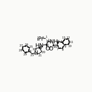 CC(C)C[C@H](NC(=O)c1ccc2ccccc2c1)C(=O)N[C@H]1CCN(Cc2ccccc2)C1